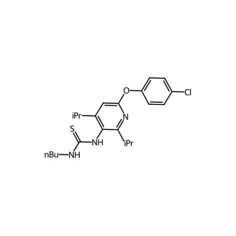 CCCCNC(=S)Nc1c(C(C)C)cc(Oc2ccc(Cl)cc2)nc1C(C)C